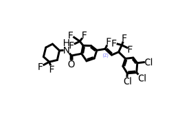 O=C(NC1CCCC(F)(F)C1)c1ccc(/C(F)=C/C(c2cc(Cl)c(Cl)c(Cl)c2)C(F)(F)F)cc1C(F)(F)F